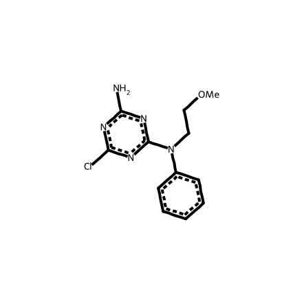 COCCN(c1ccccc1)c1nc(N)nc(Cl)n1